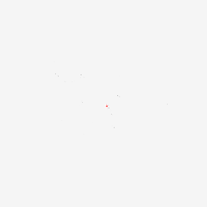 Cc1ccccc1-c1noc(C2CC2)c1COC1CC2CC[C@@H](C1)N2c1ccc(C(=O)NCCS(=O)(=O)O)cn1